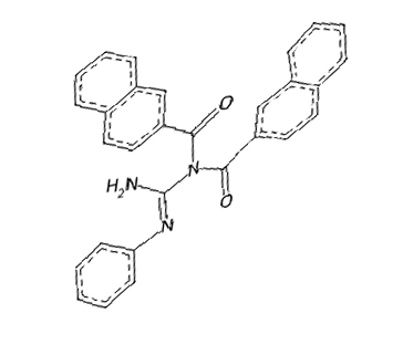 NC(=Nc1ccccc1)N(C(=O)c1ccc2ccccc2c1)C(=O)c1ccc2ccccc2c1